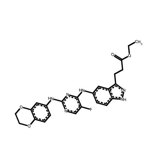 CCOC(=O)CCc1n[nH]c2ccc(Nc3nc(Nc4ccc5c(c4)OCCO5)ncc3F)cc12